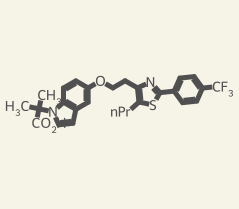 CCCc1sc(-c2ccc(C(F)(F)F)cc2)nc1CCOc1ccc2c(ccn2C(C)(C)C(=O)O)c1